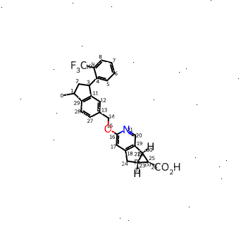 CC1CC(c2ccccc2C(F)(F)F)c2cc(COc3cc4c(cn3)[C@H]3[C@@H](C4)[C@@H]3C(=O)O)ccc21